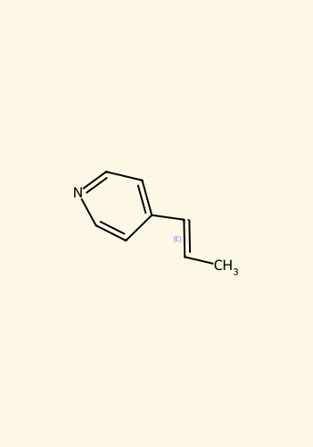 C/C=[C]/c1ccncc1